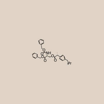 CC(C)Cc1ccc([C@@H](C)C(=O)OC[C@H](NC(=O)OCc2ccccc2)C(=O)OCc2ccccc2)cc1